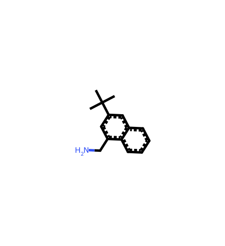 CC(C)(C)c1cc(CN)c2ccccc2c1